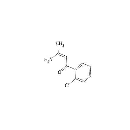 C/C(N)=C/C(=O)c1ccccc1Cl